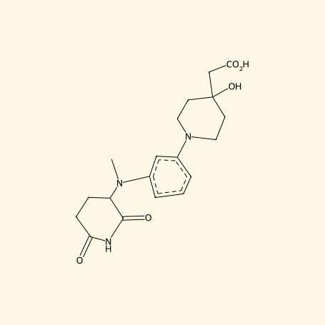 CN(c1cccc(N2CCC(O)(CC(=O)O)CC2)c1)C1CCC(=O)NC1=O